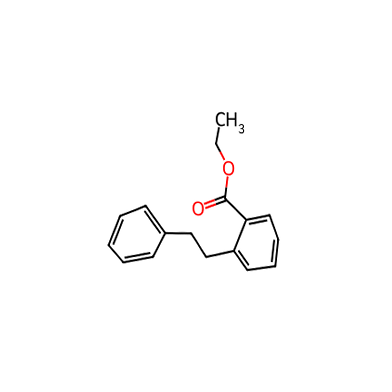 CCOC(=O)c1ccccc1CCc1ccccc1